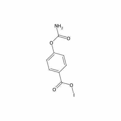 NC(=O)Oc1ccc(C(=O)OI)cc1